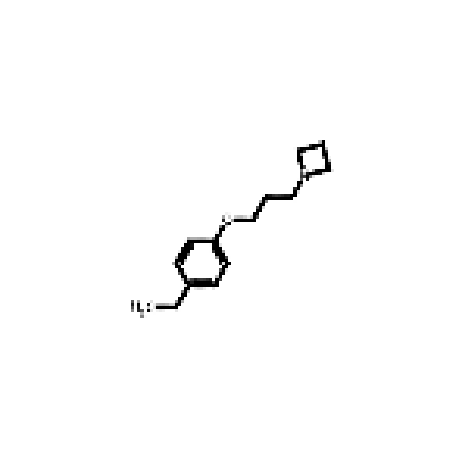 CCc1ccc(OCCCN2CCC2)cc1